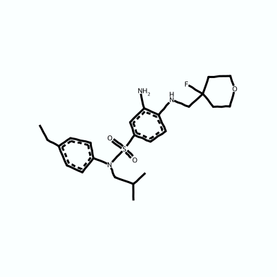 CCc1ccc(N(CC(C)C)S(=O)(=O)c2ccc(NCC3(F)CCOCC3)c(N)c2)cc1